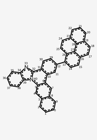 c1ccc2cc3c(cc2c1)c1cc(-c2ccc4ccc5cccc6ccc2c4c56)ccc1c1nc2ccccc2n31